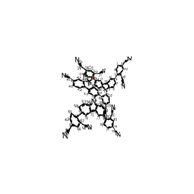 N#Cc1ccc(-c2ccc3c(c2)c2cc(-c4ccc(C#N)cc4C#N)ccc2n3-c2ccc(C#N)cc2-c2ccc(-c3ccc(C#N)cc3C(F)(F)F)cc2-n2c3ccc(-c4ccc(C#N)cc4C#N)cc3c3cc(-c4ccc(C#N)cc4C#N)ccc32)c(C#N)c1